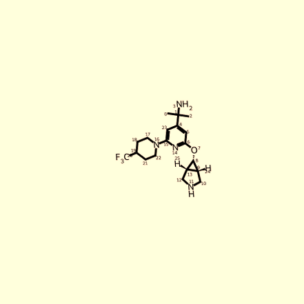 CC(C)(N)c1cc(O[C@@H]2[C@@H]3CNC[C@@H]32)nc(N2CCC(C(F)(F)F)CC2)c1